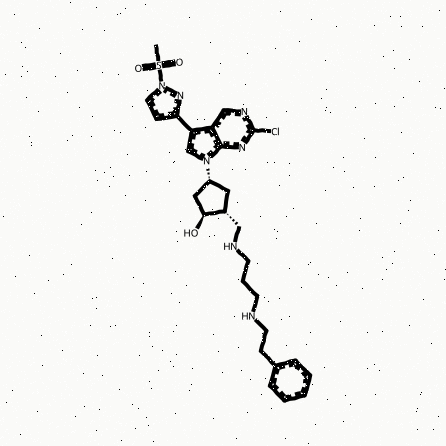 CS(=O)(=O)n1ccc(-c2cn([C@@H]3C[C@H](CNCCCNCCc4ccccc4)[C@@H](O)C3)c3nc(Cl)ncc23)n1